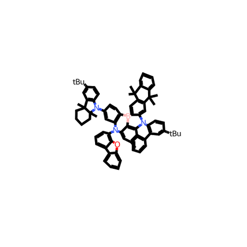 Cc1cc2c3c(c1)N(c1cccc4c1oc1ccccc14)c1cc(N4c5ccc(C(C)(C)C)cc5C5(C)CCCCC45C)ccc1B3c1cc3c(cc1N2c1ccc(C(C)(C)C)cc1-c1ccccc1)C(C)(C)c1ccccc1C3(C)C